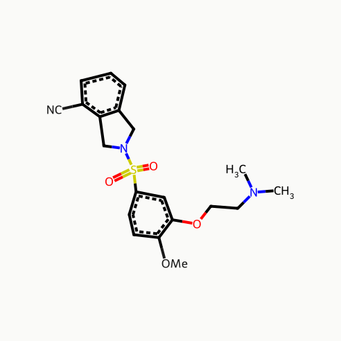 COc1ccc(S(=O)(=O)N2Cc3cccc(C#N)c3C2)cc1OCCN(C)C